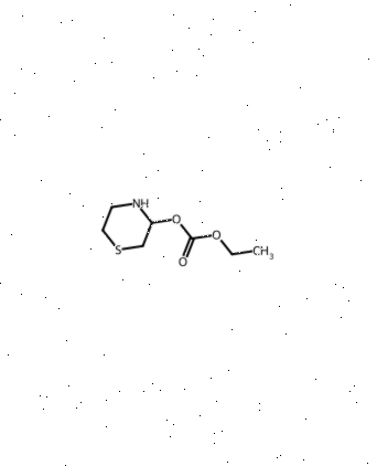 CCOC(=O)OC1CSCCN1